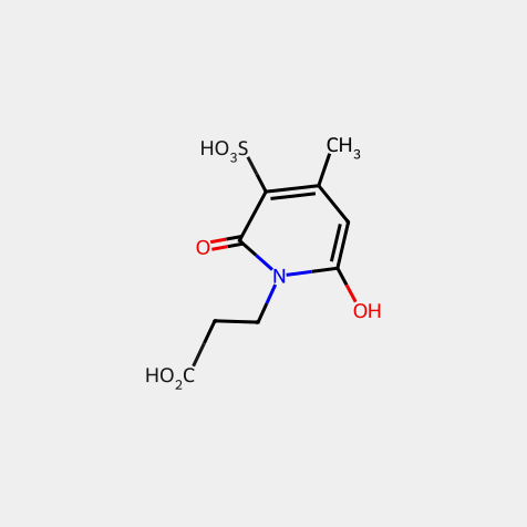 Cc1cc(O)n(CCC(=O)O)c(=O)c1S(=O)(=O)O